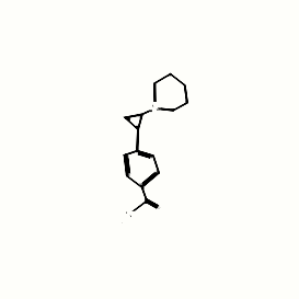 NC(=O)c1ccc(C2CC2N2CCCCC2)cc1